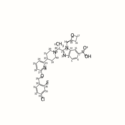 C[C@H](c1nc2ccc(C(=O)O)cc2n1C[C@@H]1CCO1)N1CCC(c2cccc(OCc3ccc(Cl)cc3F)n2)CC1